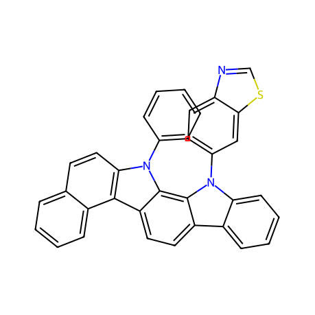 c1ccc(-n2c3ccc4ccccc4c3c3ccc4c5ccccc5n(-c5ccc6ncsc6c5)c4c32)cc1